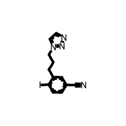 N#Cc1ccc(I)c(CCCn2ccnn2)c1